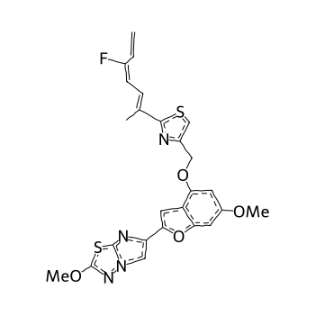 C=C/C(F)=C\C=C(/C)c1nc(COc2cc(OC)cc3oc(-c4cn5nc(OC)sc5n4)cc23)cs1